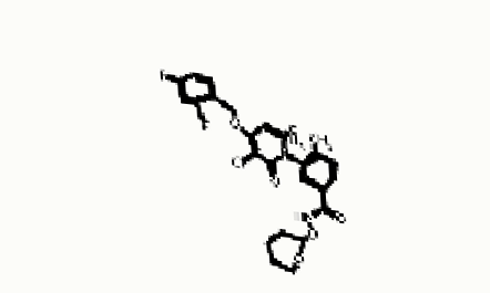 Cc1ccc(C(=O)NOC2CCCCO2)cc1-n1c(C)cc(OCc2ccc(F)cc2F)c(Cl)c1=O